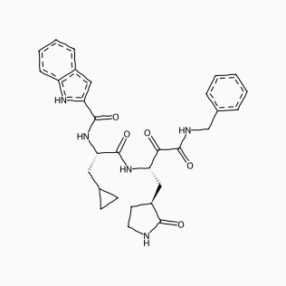 O=C(NCc1ccccc1)C(=O)[C@H](C[C@@H]1CCNC1=O)NC(=O)[C@H](CC1CC1)NC(=O)c1cc2ccccc2[nH]1